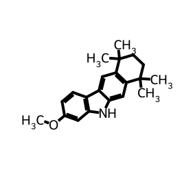 COc1ccc2c(c1)[nH]c1cc3c(cc12)C(C)(C)CCC3(C)C